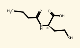 CCCC(=S)N[C@H](CCS)C(=O)O